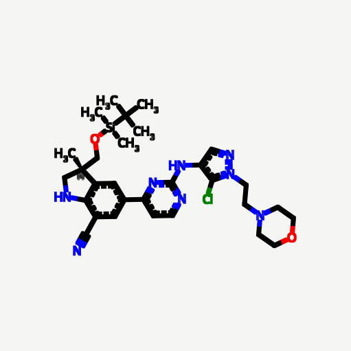 CC(C)(C)[Si](C)(C)OC[C@@]1(C)CNc2c(C#N)cc(-c3ccnc(Nc4cnn(CCN5CCOCC5)c4Cl)n3)cc21